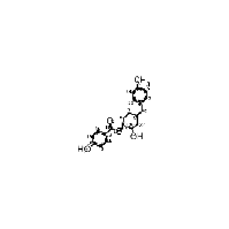 Cc1ccc(CC2CCN(OC(=O)c3ccc(O)cc3)C(O)C2)cc1